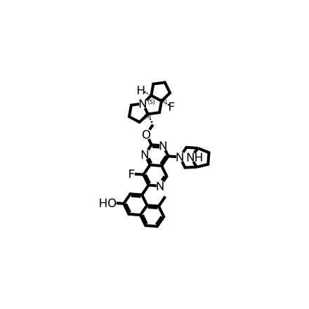 Cc1cccc2cc(O)cc(-c3ncc4c(N5CC6CCC(C5)N6)nc(OC[C@]56CCCN5[C@H]5CCC[C@@]5(F)C6)nc4c3F)c12